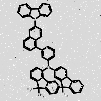 CC1(C)c2ccccc2-c2ccc(N(c3cccc(-c4cccc5cc(-n6c7ccccc7c7ccccc76)ccc45)c3)c3cccc4c3-c3ccccc3C4(C)C)cc21